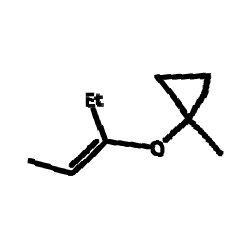 C/C=C(\CC)OC1(C)CC1